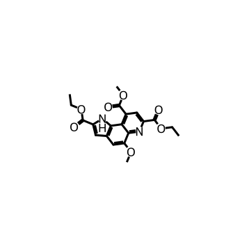 CCOC(=O)c1cc(C(=O)OC)c2c(n1)c(OC)cc1cc(C(=O)OCC)[nH]c12